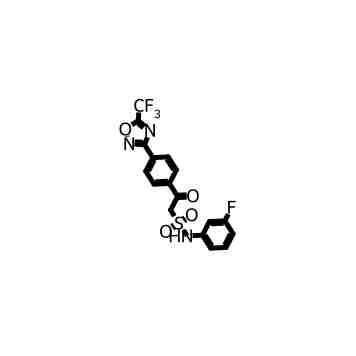 O=C(CS(=O)(=O)Nc1cccc(F)c1)c1ccc(-c2noc(C(F)(F)F)n2)cc1